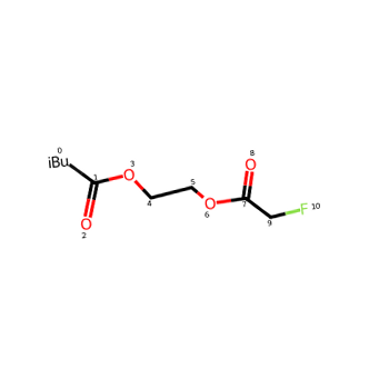 CCC(C)C(=O)OCCOC(=O)CF